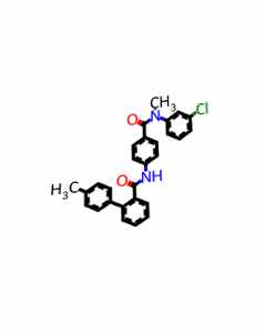 Cc1ccc(-c2ccccc2C(=O)Nc2ccc(C(=O)N(C)c3cccc(Cl)c3)cc2)cc1